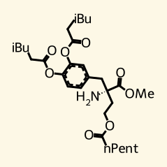 CCCCCC(=O)OCC[C@@](N)(Cc1ccc(OC(=O)CC(C)CC)c(OC(=O)CC(C)CC)c1)C(=O)OC